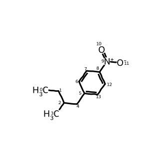 CCC(C)Cc1ccc([N+](=O)[O-])cc1